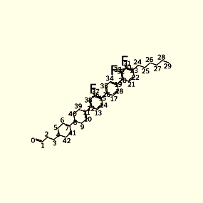 C=CCCC1CCC(C2CC=C(c3ccc(-c4ccc(-c5ccc(CCCCCC)c(F)c5F)cc4)c(F)c3)CC2)CC1